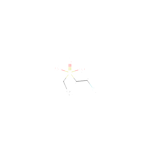 O=S(O)(O)(CCF)CC(F)(F)F